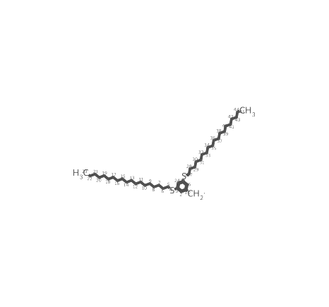 [CH2]c1cc(SCCCCCCCCCCCCCCCCCCC)cc(SCCCCCCCCCCCCCCCCCCC)c1